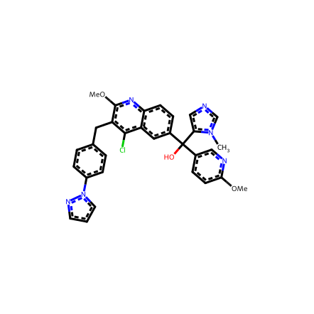 COc1ccc(C(O)(c2ccc3nc(OC)c(Cc4ccc(-n5cccn5)cc4)c(Cl)c3c2)c2cncn2C)cn1